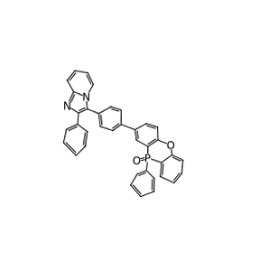 O=P1(c2ccccc2)c2ccccc2Oc2ccc(-c3ccc(-c4c(-c5ccccc5)nc5ccccn45)cc3)cc21